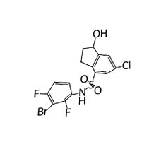 O=S(=O)(Nc1ccc(F)c(Br)c1F)c1cc(Cl)cc2c1CCC2O